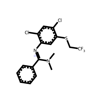 CN(C)/C(=N\c1cc(SCC(F)(F)F)c(Cl)cc1Cl)c1ccccc1